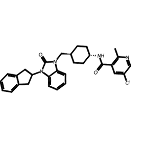 Cc1ncc(Cl)cc1C(=O)N[C@H]1CC[C@H](Cn2c(=O)n(C3Cc4ccccc4C3)c3ccccc32)CC1